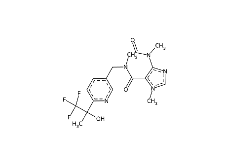 CN(Cc1ccc(C(C)(O)C(F)(F)F)nc1)C(=O)c1c(N(C)C=O)ncn1C